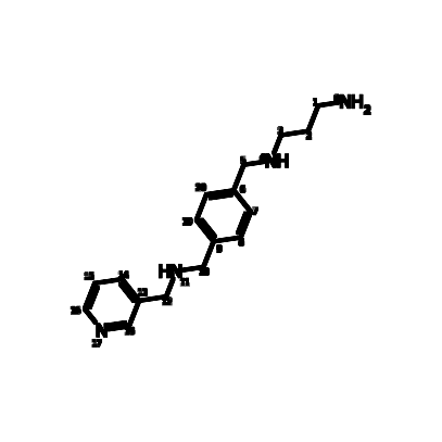 NCCCNCc1ccc(CNCc2cccnc2)cc1